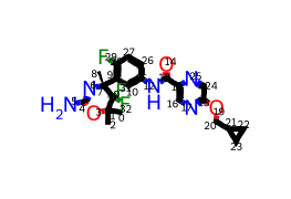 CC1(C)OC(N)=N[C@](C)(c2cc(NC(=O)c3cnc(OCC4CC4)cn3)ccc2F)C1(F)F